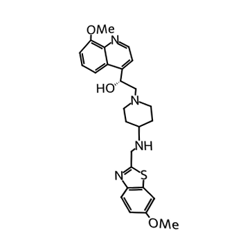 COc1ccc2nc(CNC3CCN(C[C@H](O)c4ccnc5c(OC)cccc45)CC3)sc2c1